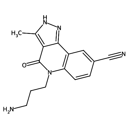 Cc1[nH]nc2c1c(=O)n(CCCN)c1ccc(C#N)cc21